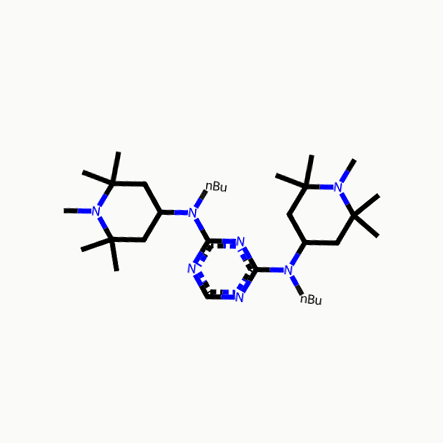 CCCCN(c1ncnc(N(CCCC)C2CC(C)(C)N(C)C(C)(C)C2)n1)C1CC(C)(C)N(C)C(C)(C)C1